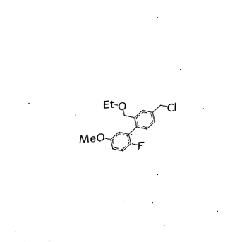 CCOCc1cc(CCl)ccc1-c1cc(OC)ccc1F